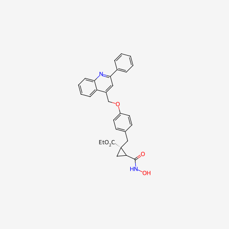 CCOC(=O)[C@@]1(Cc2ccc(OCc3cc(-c4ccccc4)nc4ccccc34)cc2)CC1C(=O)NO